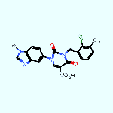 CCn1cnc2cc(-n3cc(C(=O)O)c(=O)n(Cc4cccc(C(F)(F)F)c4Cl)c3=O)ccc21